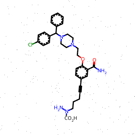 NC(=O)c1cc(C#CCCCN(N)C(=O)O)ccc1OCCN1CCN(C(c2ccccc2)c2ccc(Cl)cc2)CC1